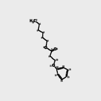 CCCCCCOC(=O)CCOc1cc[c]cc1